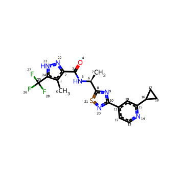 Cc1c(C(=O)N[C@@H](C)c2nc(-c3ccnc(C4CC4)c3)ns2)n[nH]c1C(F)(F)F